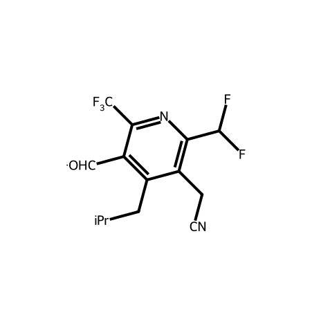 CC(C)Cc1c([C]=O)c(C(F)(F)F)nc(C(F)F)c1CC#N